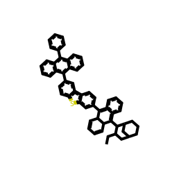 CCC1CC2CCCC(C2)C1C1=c2ccccc2=C(c2ccc3c(c2)sc2ccc(-c4c5ccccc5c(-c5ccccc5)c5ccccc45)cc23)C2C=CC=CC12